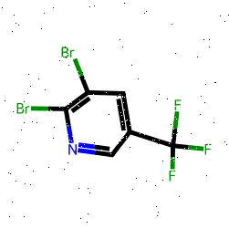 FC(F)(F)c1cnc(Br)c(Br)c1